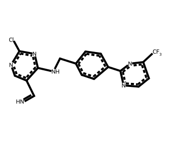 N=Cc1cnc(Cl)nc1NCc1ccc(-c2nccc(C(F)(F)F)n2)cc1